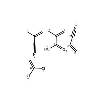 C=C(C)C#N.C=C(C)C(=O)O.C=C(Cl)Cl.C=CC#N